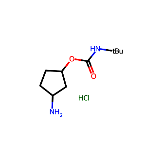 CC(C)(C)NC(=O)OC1CCC(N)C1.Cl